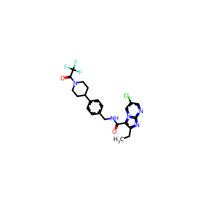 CCc1nc2ncc(Cl)cn2c1C(=O)NCc1ccc(C2CCN(C(=O)C(F)(F)F)CC2)cc1